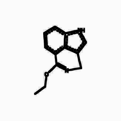 CCOC1=NCc2c[nH]c3cccc1c23